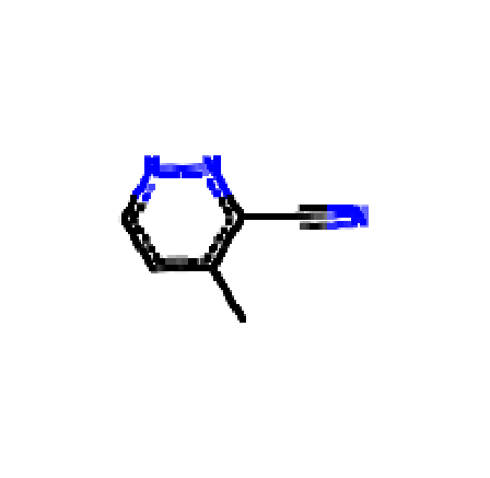 Cc1ccnnc1C#N